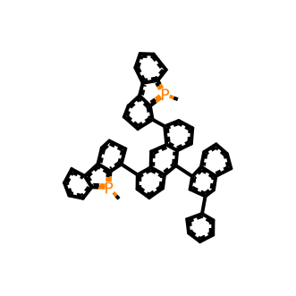 Cp1c2ccccc2c2cccc(-c3cccc4c(-c5cc(-c6ccccc6)cc6ccccc56)c5cccc(-c6cccc7c8ccccc8p(C)c67)c5cc34)c21